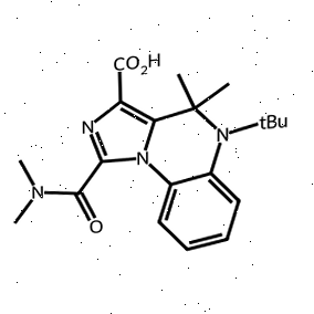 CN(C)C(=O)c1nc(C(=O)O)c2n1-c1ccccc1N(C(C)(C)C)C2(C)C